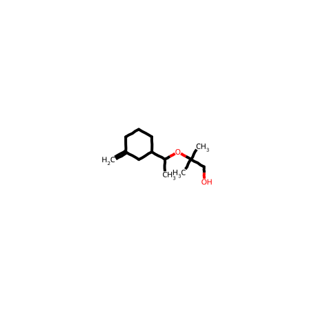 C=C1CCCC(C(C)OC(C)(C)CO)C1